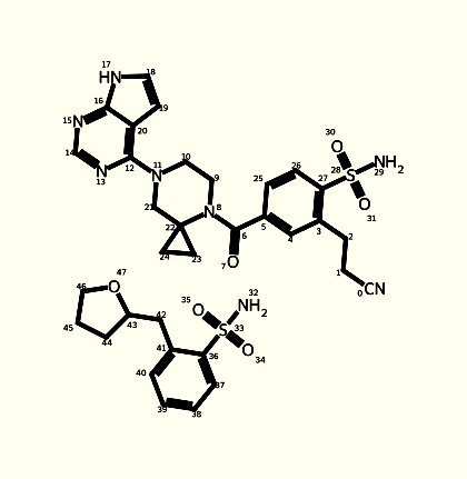 N#CCCc1cc(C(=O)N2CCN(c3ncnc4[nH]ccc34)CC23CC3)ccc1S(N)(=O)=O.NS(=O)(=O)c1ccccc1CC1CCCO1